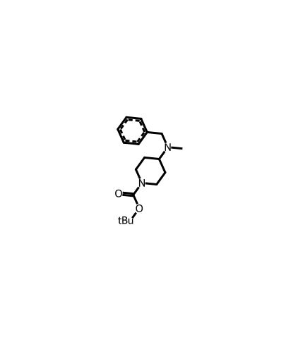 CN(Cc1ccccc1)C1CCN(C(=O)OC(C)(C)C)CC1